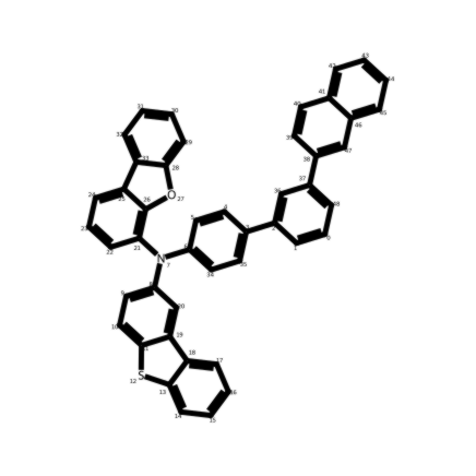 c1cc(-c2ccc(N(c3ccc4sc5ccccc5c4c3)c3cccc4c3oc3ccccc34)cc2)cc(-c2ccc3ccccc3c2)c1